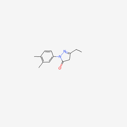 CCC1=NN(c2ccc(C)c(C)c2)C(=O)C1